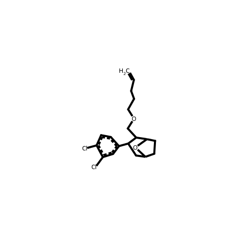 C=CCCCOCC1C2CCC(CC1c1ccc(Cl)c(Cl)c1)O2